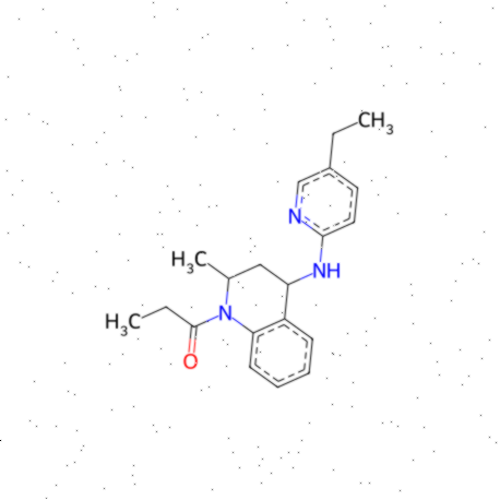 CCC(=O)N1c2ccccc2C(Nc2ccc(CC)cn2)CC1C